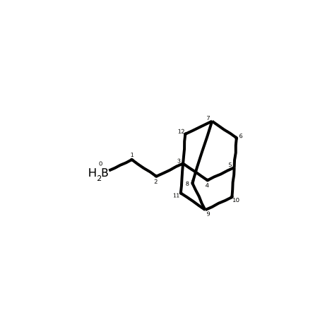 BCCC12CC3CC(CC(C3)C1)C2